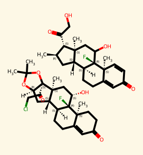 CC1(C)O[C@@H]2C[C@H]3[C@@H]4CCC5=CC(=O)CC[C@]5(C)[C@@]4(F)[C@@H](O)C[C@]3(C)[C@]2(C(=O)CCl)O1.C[C@@H]1C[C@H]2[C@@H]3CCC4=CC(=O)C=C[C@]4(C)[C@@]3(F)C(O)C[C@]2(C)[C@H]1C(=O)CO